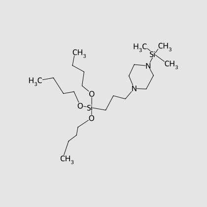 CCCCO[Si](CCCN1CCN([Si](C)(C)C)CC1)(OCCCC)OCCCC